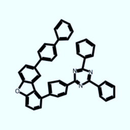 c1ccc(-c2ccc(-c3ccc4oc5cccc(-c6ccc(-c7nc(-c8ccccc8)nc(-c8ccccc8)n7)cc6)c5c4c3)cc2)cc1